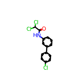 O=C(Nc1cccc(-c2ccc(Cl)cc2)c1)C(Cl)Cl